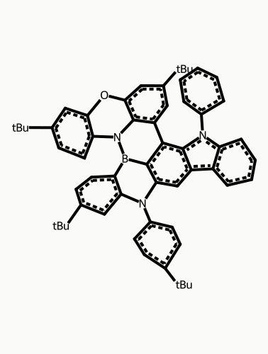 CC(C)(C)c1ccc(N2c3cc(C(C)(C)C)ccc3B3c4c2cc2c5ccccc5n(-c5ccccc5)c2c4-c2cc(C(C)(C)C)cc4c2N3c2ccc(C(C)(C)C)cc2O4)cc1